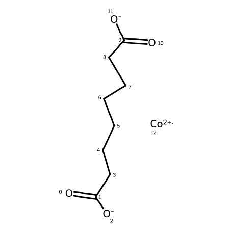 O=C([O-])CCCCCCC(=O)[O-].[Co+2]